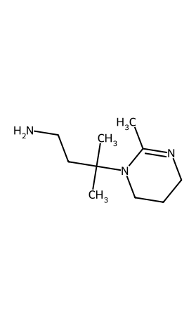 CC1=NCCCN1C(C)(C)CCN